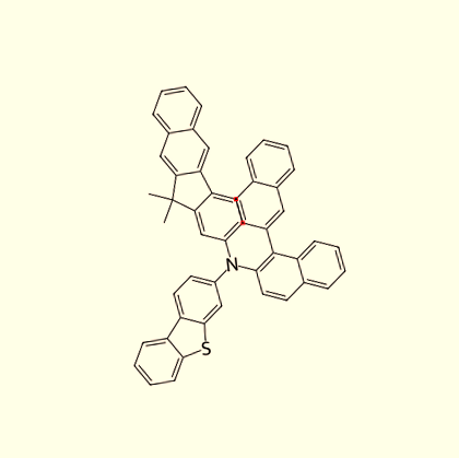 CC1(C)c2cc(N(c3ccc4c(c3)sc3ccccc34)c3ccc4ccccc4c3-c3ccc4ccccc4c3)ccc2-c2cc3ccccc3cc21